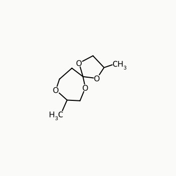 CC1COC2(CCO1)OCC(C)O2